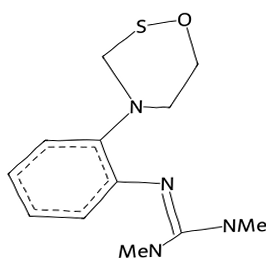 CNC(=Nc1ccccc1N1CCOSC1)NC